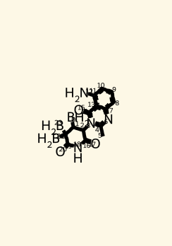 BC1C(n2c(C)nc3cccc(N)c3c2=O)C(=O)NC(=O)C1(B)B